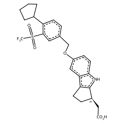 O=C(O)C[C@H]1CCc2c1[nH]c1ccc(OCc3ccc(C4CCCC4)c(S(=O)(=O)C(F)(F)F)c3)cc21